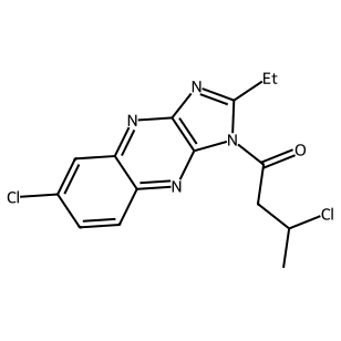 CCc1nc2nc3cc(Cl)ccc3nc2n1C(=O)CC(C)Cl